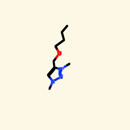 CCCCOCc1cn(C)n[n+]1C